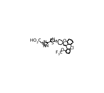 O=C(O)Cn1nnc(-c2cnc(N3CCC4(C=C(c5ccccc5OC(F)(F)F)c5c(Cl)cccc5O4)CC3)s2)n1